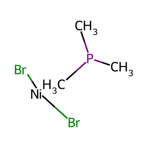 CP(C)C.[Br][Ni][Br]